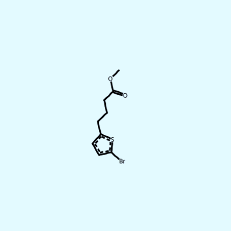 COC(=O)CCCc1ccc(Br)s1